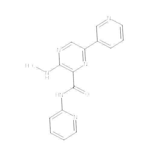 CNc1ncc(-c2cccnc2)nc1C(=O)Nc1ccccn1